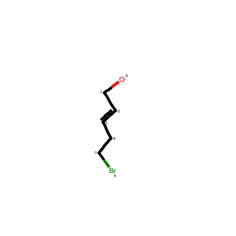 [O]C/C=C/CCBr